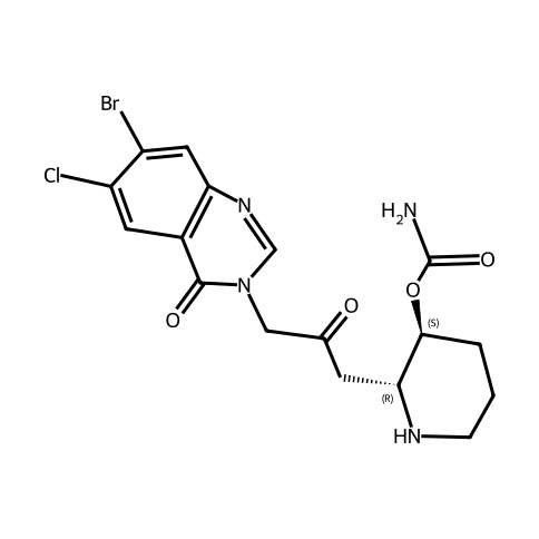 NC(=O)O[C@H]1CCCN[C@@H]1CC(=O)Cn1cnc2cc(Br)c(Cl)cc2c1=O